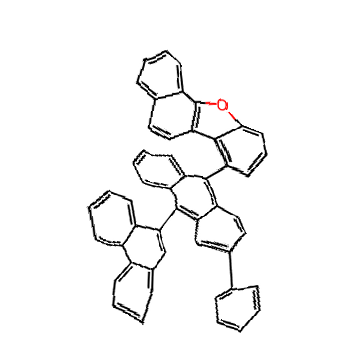 c1ccc(-c2ccc3c(-c4cccc5oc6c7ccccc7ccc6c45)c4ccccc4c(-c4cc5ccccc5c5ccccc45)c3c2)cc1